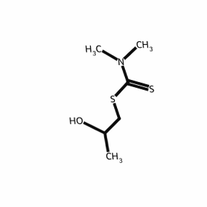 CC(O)CSC(=S)N(C)C